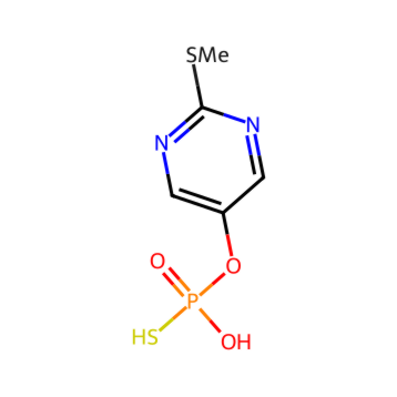 CSc1ncc(OP(=O)(O)S)cn1